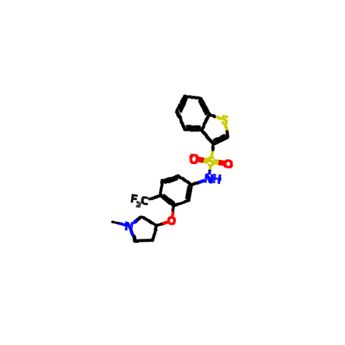 CN1CCC(Oc2cc(NS(=O)(=O)c3csc4ccccc34)ccc2C(F)(F)F)C1